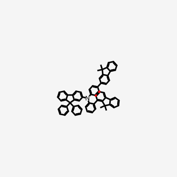 CC1(C)c2ccccc2-c2ccc(-c3ccc(N(c4ccc5c(c4)C(c4ccccc4)(c4ccccc4)c4ccccc4-5)c4ccccc4-c4cccc5c4C(C)(C)c4ccccc4-5)cc3)cc21